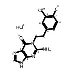 Cl.Nc1nc2[nH]cnc2c(=O)n1CCc1ccc(Cl)c(Cl)c1